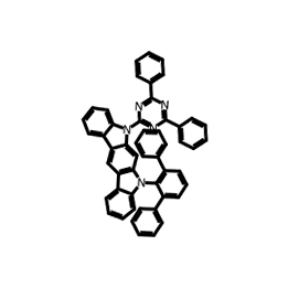 c1ccc(-c2nc(-c3ccccc3)nc(-n3c4ccccc4c4cc5c6ccccc6n(-c6c(-c7ccccc7)cccc6-c6ccccc6)c5cc43)n2)cc1